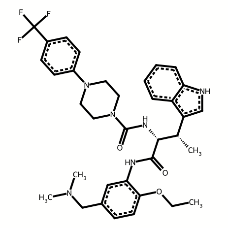 CCOc1ccc(CN(C)C)cc1NC(=O)[C@H](NC(=O)N1CCN(c2ccc(C(F)(F)F)cc2)CC1)[C@@H](C)c1c[nH]c2ccccc12